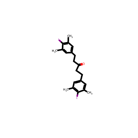 Cc1cc(CCC(=O)CCc2cc(C)c(I)c(C)c2)cc(C)c1I